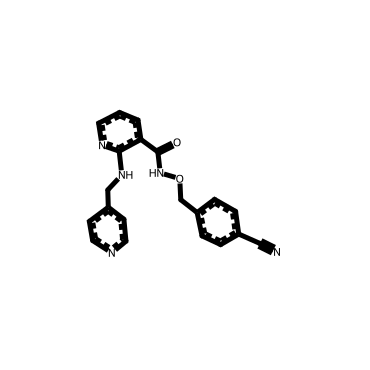 N#Cc1ccc(CONC(=O)c2cccnc2NCc2ccncc2)cc1